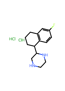 Cl.Cl.Fc1ccc2c(c1)CCCC2C1CNCCN1